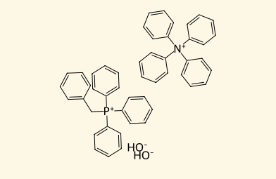 [OH-].[OH-].c1ccc(C[P+](c2ccccc2)(c2ccccc2)c2ccccc2)cc1.c1ccc([N+](c2ccccc2)(c2ccccc2)c2ccccc2)cc1